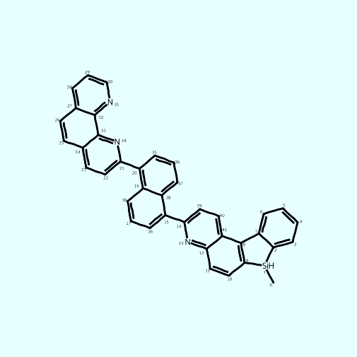 C[SiH]1c2ccccc2-c2c1ccc1nc(-c3cccc4c(-c5ccc6ccc7cccnc7c6n5)cccc34)ccc21